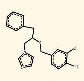 Clc1ccc(CSC(Cc2ccccc2)Cn2ccnc2)cc1Cl